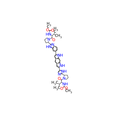 COC(=O)NC(C(=O)N1CCCC1c1ncc(-c2cc3cc4cc(-c5ccc6nc(C7CCCN7C(=O)C(NC(=O)OC)C(C)C)[nH]c6c5)[nH]c4cc3[nH]2)[nH]1)C(C)C